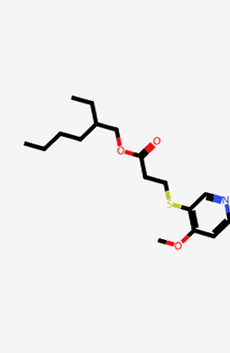 CCCCC(CC)COC(=O)CCSc1cnccc1OC